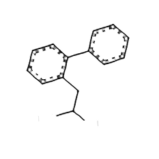 C[C](C)Cc1ccccc1-c1ccccc1